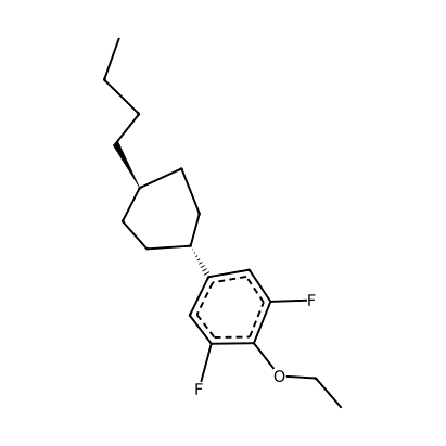 CCCC[C@H]1CC[C@H](c2cc(F)c(OCC)c(F)c2)CC1